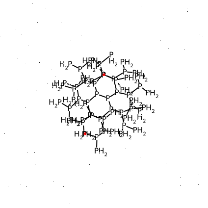 PP(P)P(P)P(P(P)P)P(P(P(P)P)P(P)P)P(P(P(P(P)P)P(P)P)P(P(P)P)P(P)P)P(P(P(P(P)P)P(P)P)P(P(P)P)P(P)P)P(P(P(P)P)P(P)P)P(P(P)P)P(P)P